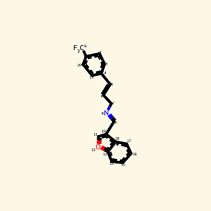 FC(F)(F)c1ccc(/C=C/C/N=C/c2coc3ccccc23)cc1